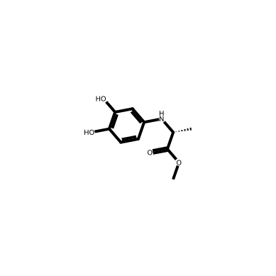 COC(=O)[C@@H](C)Nc1ccc(O)c(O)c1